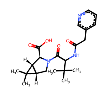 CC(C)(C)C(NC(=O)Cc1cccnc1)C(=O)N1C[C@H]2[C@@H]([C@H]1C(=O)O)C2(C)C